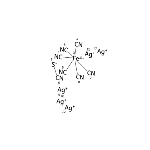 N#C[S-].N#[C][Fe-4]([C]#N)([C]#N)([C]#N)([C]#N)[C]#N.[Ag+].[Ag+].[Ag+].[Ag+].[Ag+]